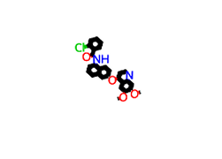 COc1cc2nccc(Oc3ccc4c(NC(=O)c5ccccc5Cl)cccc4c3)c2cc1OC